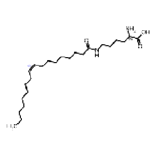 CCCCCCCC/C=C\CCCCCCCC(=O)NCCCC[C@@H](N)C(=O)O